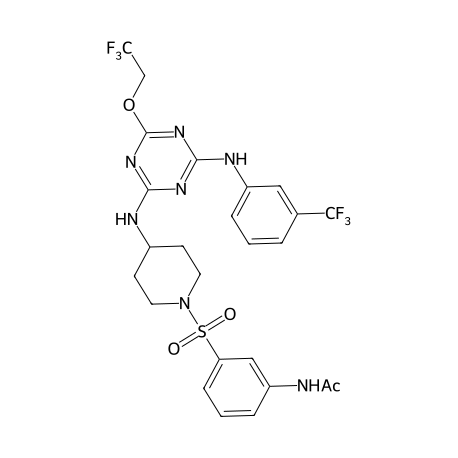 CC(=O)Nc1cccc(S(=O)(=O)N2CCC(Nc3nc(Nc4cccc(C(F)(F)F)c4)nc(OCC(F)(F)F)n3)CC2)c1